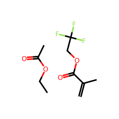 C=C(C)C(=O)OCC(F)(F)F.CCOC(C)=O